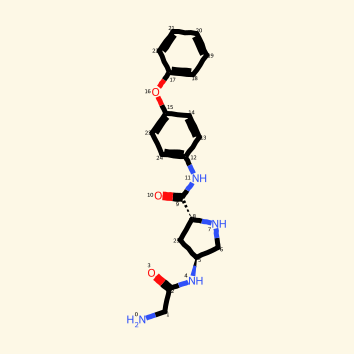 NCC(=O)N[C@@H]1CN[C@@H](C(=O)Nc2ccc(Oc3ccccc3)cc2)C1